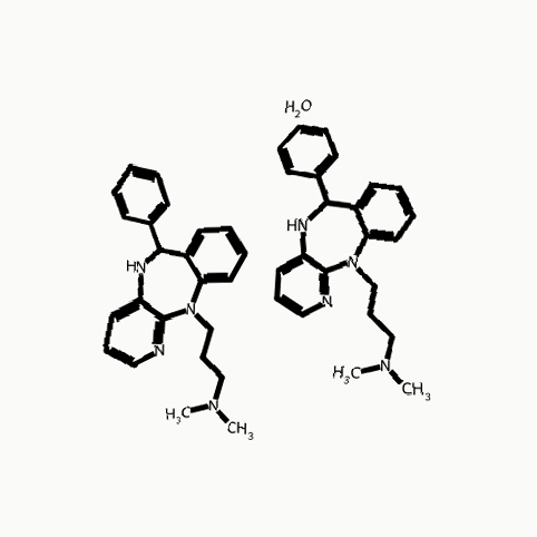 CN(C)CCCN1c2ccccc2C(c2ccccc2)Nc2cccnc21.CN(C)CCCN1c2ccccc2C(c2ccccc2)Nc2cccnc21.O